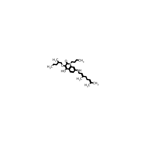 CCCCn1c(=O)c(OCC(C)CCC)c(O)c2ccc(NC/C=C(\C)CCC=C(C)C)cc21